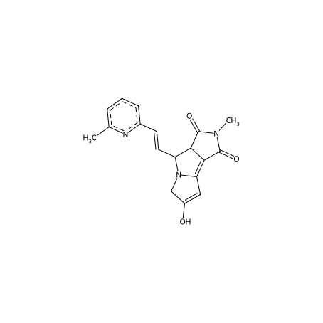 Cc1cccc(C=CC2C3C(=O)N(C)C(=O)C3=C3C=C(O)CN32)n1